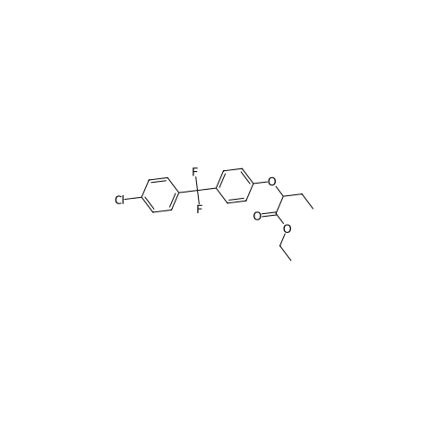 CCOC(=O)C(CC)Oc1ccc(C(F)(F)c2ccc(Cl)cc2)cc1